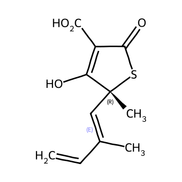 C=C/C(C)=C/[C@@]1(C)SC(=O)C(C(=O)O)=C1O